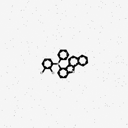 Clc1cccc(N(c2ccccc2)c2cccc3oc4c5ccccc5ccc4c23)c1Cl